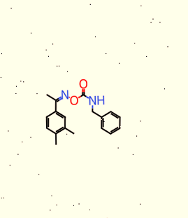 C/C(=N/OC(=O)NCc1ccccc1)c1ccc(C)c(C)c1